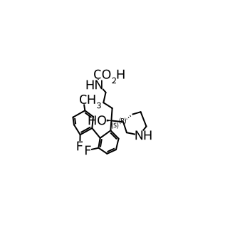 Cc1ccc(F)c(-c2c(F)cccc2[C@](O)(CCCNC(=O)O)[C@@H]2CCCNC2)c1